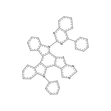 c1ccc(-c2nc(-n3c4ccccc4c4c5c6ccccc6n(-c6ccccc6)c5c5c6cncnc6sc5c43)nc3ccccc23)cc1